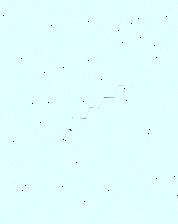 CCCC(=O)OCCCCCC[O]